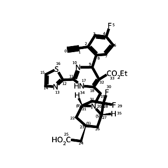 C#Cc1cc(F)ccc1C1N=C(c2nccs2)NC(CN2[C@@H]3C[C@H](CC(=O)O)C[C@H]2C(F)(F)C3)=C1C(=O)OCC